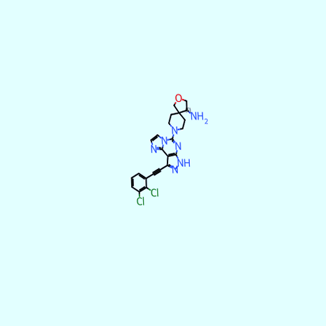 N[C@@H]1COCC12CCN(c1nc3[nH]nc(C#Cc4cccc(Cl)c4Cl)c3c3nccn13)CC2